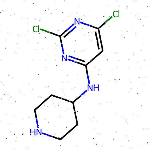 Clc1cc(NC2CCNCC2)nc(Cl)n1